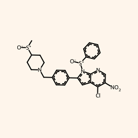 C[S+]([O-])C1CCN(Cc2ccc(-c3cc4c(Cl)c([N+](=O)[O-])cnc4n3[S+]([O-])c3ccccc3)cc2)CC1